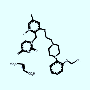 Cc1cc(CCCN2CCN(c3ccccc3OCC(F)(F)F)CC2)c(Cn2ccc(=O)[nH]c2=O)[n+]([O-])c1.O=C(O)/C=C/C(=O)O